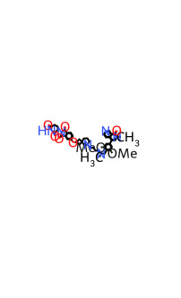 COc1cc(-c2cn(C)c(=O)c3cnccc23)cc(OC)c1CN(C)CCCCN1CCCC2(CC(Oc3ccc4c(c3)C(=O)N([C@H]3CCC(=O)NC3=O)C4=O)C2)C1